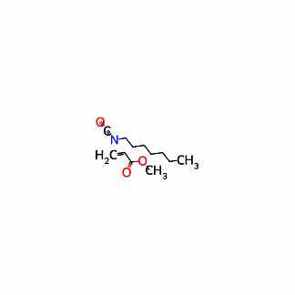 C=CC(=O)OC.CCCCCCCN=C=O